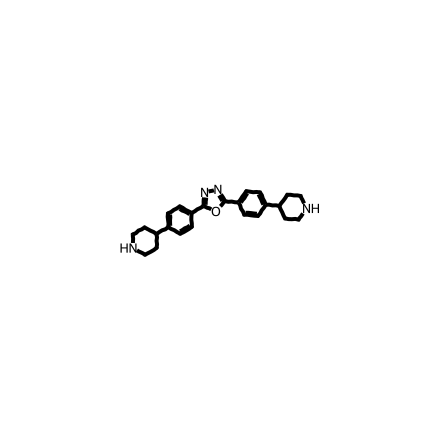 c1cc(C2CCNCC2)ccc1-c1nnc(-c2ccc(C3CCNCC3)cc2)o1